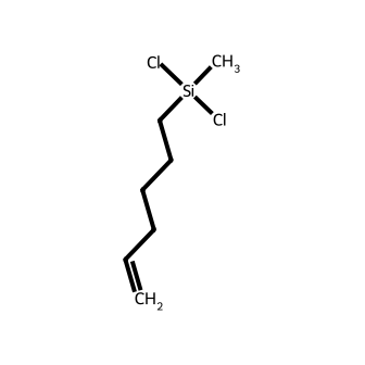 C=CCCCC[Si](C)(Cl)Cl